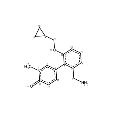 Cn1cc(-c2c(CN)cccc2OCC2CC2)ccc1=O